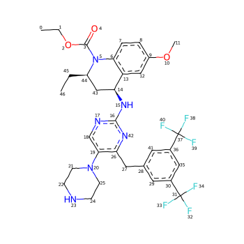 CCOC(=O)N1c2ccc(OC)cc2[C@@H](Nc2ncc(N3CCNCC3)c(Cc3cc(C(F)(F)F)cc(C(F)(F)F)c3)n2)C[C@H]1CC